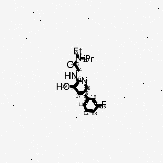 CCN(C(=O)CNc1ncc(-c2cccc(F)c2)cc1O)C(C)C